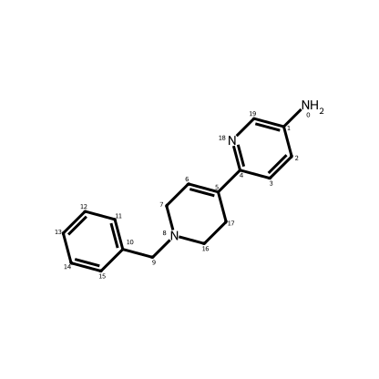 Nc1ccc(C2=CCN(Cc3ccccc3)CC2)nc1